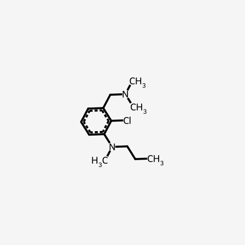 CCCN(C)c1cccc(CN(C)C)c1Cl